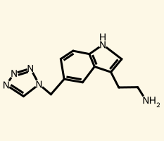 NCCc1c[nH]c2ccc(Cn3cnnn3)cc12